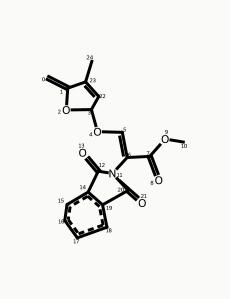 C=C1OC(O/C=C(/C(=O)OC)N2C(=O)c3ccccc3C2=O)C=C1C